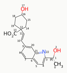 C[C@@H](O)c1ccc2ccc(C=CC3(C(=O)O)CCC(O)CC3)cc2n1